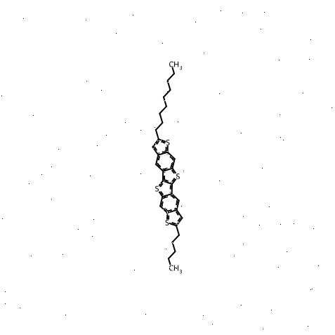 CCCCCCCCCc1cc2cc3c(cc2s1)sc1c2cc4cc(CCCCC)sc4cc2sc31